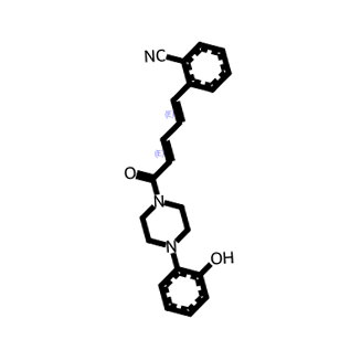 N#Cc1ccccc1/C=C/C=C/C(=O)N1CCN(c2ccccc2O)CC1